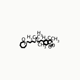 CC(C)N(CCCCN1CCCCCC1=O)C(C)Cc1ccc2c(c1)C(C)(C)CS2(=O)=O